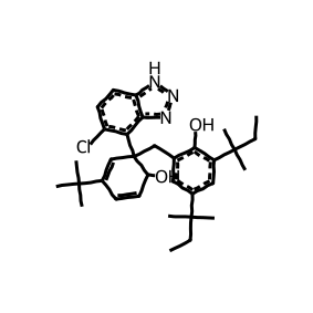 CCC(C)(C)c1cc(CC2(c3c(Cl)ccc4[nH]nnc34)C=C(C(C)(C)C)C=CC2O)c(O)c(C(C)(C)CC)c1